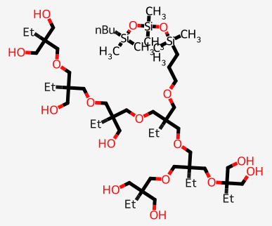 CCCC[Si](C)(C)O[Si](C)(C)O[Si](C)(C)CCCOCC(CC)(COCC(CC)(CO)COCC(CC)(CO)COCC(CC)(CO)CO)COCC(CC)(COCC(CC)(CO)CO)COC(CC)(CO)CO